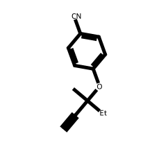 C#CC(C)(CC)Oc1ccc(C#N)cc1